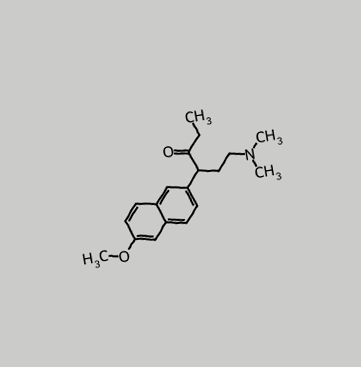 CCC(=O)C(CCN(C)C)c1ccc2cc(OC)ccc2c1